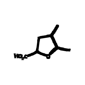 CC1CC(C(=O)O)OC1C